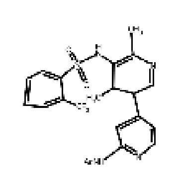 CC(=O)Nc1cc(C2C=NC(C)=C(NS(=O)(=O)c3ccccc3C(F)(F)F)C2C)ccn1